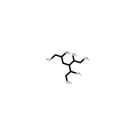 BC(CN)CC(C(C)CC)C(C)CC